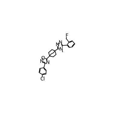 Cn1c(-c2ccccc2CF)nnc1C12CCC(c3nc(-c4ccc(Cl)cc4)no3)(CC1)CC2